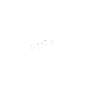 CN(C(=O)C(CO)OC1CCCC1)c1ccc2cc(-c3n[nH]c4c3CCC(C)(C(I)(I)I)C4)[nH]c2c1